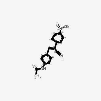 CC(=O)Nc1ccc(/C=C(\C#N)c2ccc([N+](=O)[O-])cc2)cc1